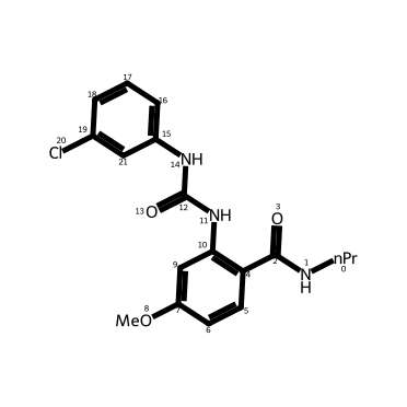 CCCNC(=O)c1ccc(OC)cc1NC(=O)Nc1cccc(Cl)c1